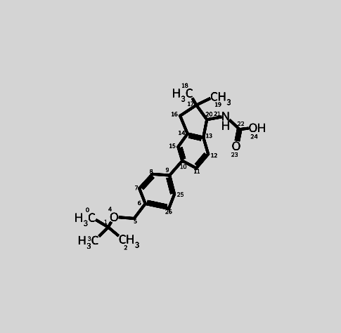 CC(C)(C)OCc1ccc(-c2ccc3c(c2)CC(C)(C)C3NC(=O)O)cc1